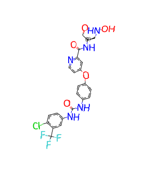 O=C[C@@H](CNO)NC(=O)c1cc(Oc2ccc(NC(=O)Nc3ccc(Cl)c(C(F)(F)F)c3)cc2)ccn1